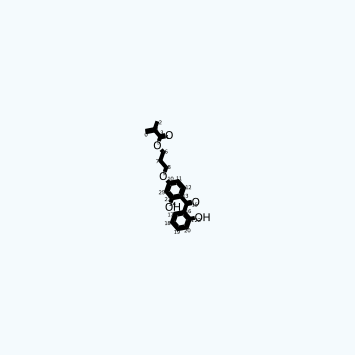 C=C(C)C(=O)OCCCOc1ccc(C(=O)c2ccccc2O)c(O)c1